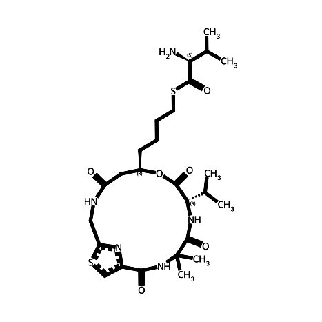 CC(C)[C@H](N)C(=O)SCCCC[C@@H]1CC(=O)NCc2nc(cs2)C(=O)NC(C)(C)C(=O)N[C@@H](C(C)C)C(=O)O1